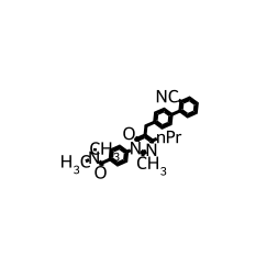 CCCc1nc(C)n(-c2ccc(C(=O)N(C)C)cc2)c(=O)c1Cc1ccc(-c2ccccc2C#N)cc1